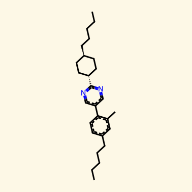 CCCCCc1ccc(-c2cnc([C@H]3CC[C@H](CCCCC)CC3)nc2)c(C)c1